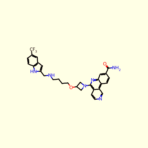 NC(=O)c1ccc2c(c1)nc(N1CC(OCCCCNCc3cc4cc(C(F)(F)F)ccc4[nH]3)C1)c1ccncc12